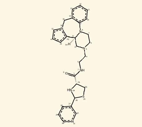 O=C(NCCN1CCN2c3ccccc3Cn3cccc3[C@@H]2C1)[C@@H]1CSC(c2cccnc2)N1